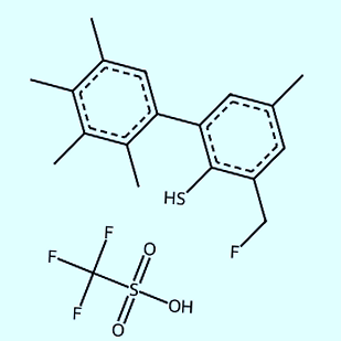 Cc1cc(CF)c(S)c(-c2cc(C)c(C)c(C)c2C)c1.O=S(=O)(O)C(F)(F)F